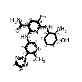 Cc1ncc(Nc2nc(NC3CCC[C@@H](O)[C@@H]3N)c(F)cc2C(N)=O)cc1-n1nccn1